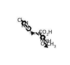 CC1(C(=O)Nc2ccc(N(CC[C@@H]3C[C@@H]3C3CCN(c4ncc(Cl)cn4)CC3)C(=O)O)cn2)CC1